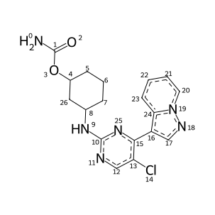 NC(=O)OC1CCCC(Nc2ncc(Cl)c(-c3cnn4ccccc34)n2)C1